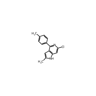 Cc1ccc(-c2nc(Cl)cc3[nH]c(C)cc23)cc1